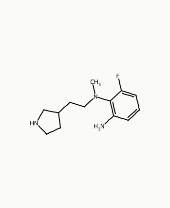 CN(CCC1CCNC1)c1c(N)cccc1F